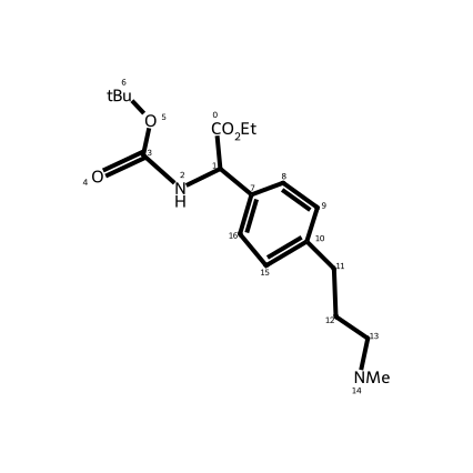 CCOC(=O)C(NC(=O)OC(C)(C)C)c1ccc(CCCNC)cc1